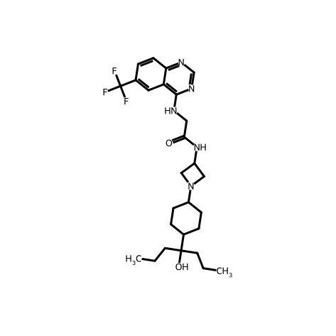 CCCC(O)(CCC)C1CCC(N2CC(NC(=O)CNc3ncnc4ccc(C(F)(F)F)cc34)C2)CC1